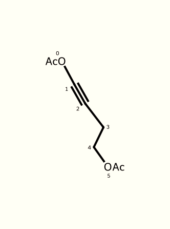 CC(=O)OC#CCCOC(C)=O